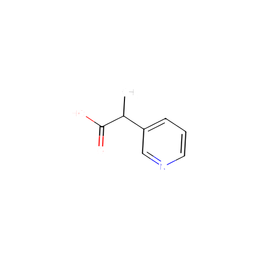 CC(C(=O)O)c1cccnc1